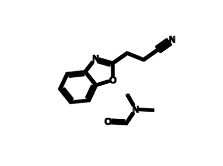 CN(C)C=O.N#CCCc1nc2ccccc2o1